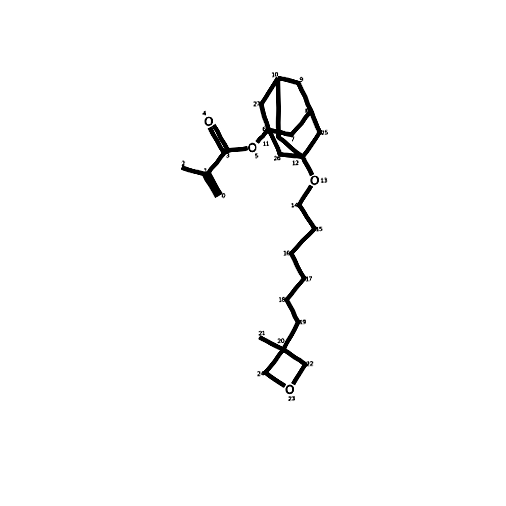 C=C(C)C(=O)OC12CC3CC(CC(OCCCCCCC4(C)COC4)(C3)C1)C2